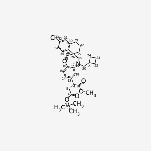 COC(=O)[C@H](CC(=O)OC(C)(C)C)c1ccc2c(c1)N(CC1CCC1)C[C@@]1(CCCc3cc(Cl)ccc31)CO2